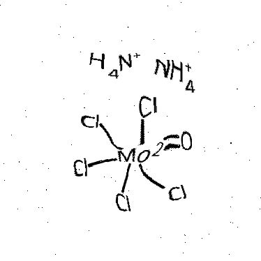 [NH4+].[NH4+].[O]=[Mo-2]([Cl])([Cl])([Cl])([Cl])[Cl]